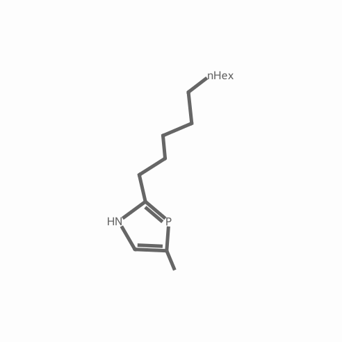 CCCCCCCCCCCc1[nH]cc(C)p1